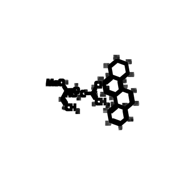 C=C(C)C(=O)O.C=CC(=O)OC.c1ccc2c(c1)ccc1c3c(ccc12)CCCC3